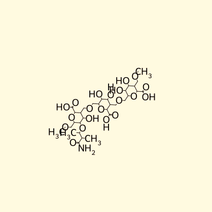 COCC1OC(C(=O)O)C(COCC2OC(C(=O)O)C(COCC3OC(C(=O)O)C(COC)C(O)C3O)C(O)C2O)C(O)C1OC(C)C(C)C(N)=O